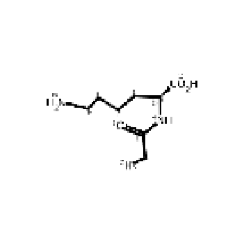 [2H]CC(=O)N[C@@H](CCCCN)C(=O)O